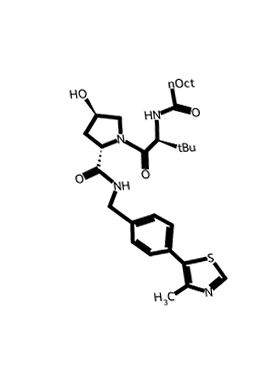 CCCCCCCCC(=O)N[C@H](C(=O)N1C[C@H](O)C[C@H]1C(=O)NCc1ccc(-c2scnc2C)cc1)C(C)(C)C